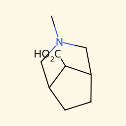 CN1CC2CCC(C1)C2C(=O)O